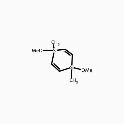 CO[Si]1(C)C=C[Si](C)(OC)C=C1